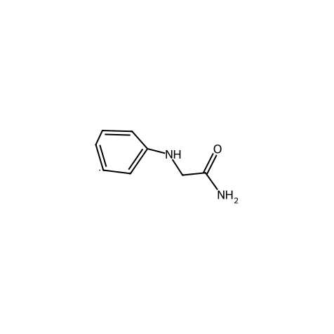 NC(=O)CNc1c[c]ccc1